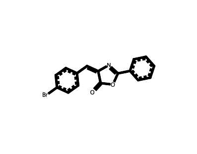 O=C1OC(c2ccccc2)=N/C1=C/c1ccc(Br)cc1